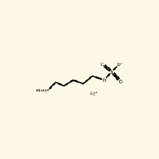 CCCCCCCCCCCCOS(=O)(=O)[O-].[Ag+]